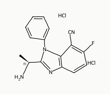 C[C@H](N)c1nc2ccc(F)c(C#N)c2n1-c1ccccc1.Cl.Cl